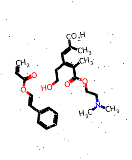 C=CC(=O)OC=Cc1ccccc1.CC(=CC(CCO)=C(C)C(=O)OCCN(C)C)C(=O)O